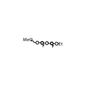 CCC1CCC(c2ccc(C3=CCC(c4ccc(C5CCC(CCCOC)CC5)cc4F)CC3)cc2F)CC1